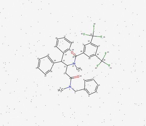 CN(Cc1ccccc1)C(=O)CC(C(c1ccccc1)c1ccccc1)N(C)C(=O)c1cc(C(F)(F)F)cc(C(F)(F)F)c1